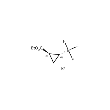 CCOC(=O)[C@@H]1C[C@H]1[B-](F)(F)F.[K+]